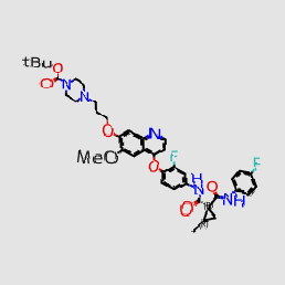 COc1cc2c(Oc3ccc(NC(=O)[C@]4(C(=O)Nc5ccc(F)cc5)C[C@H]4C)cc3F)ccnc2cc1OCCCN1CCN(C(=O)OC(C)(C)C)CC1